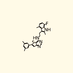 Cc1cc(C)cc(-c2cc3ncnc(NCCc4c(C)[nH]c5c(F)ccc(C)c45)c3s2)c1